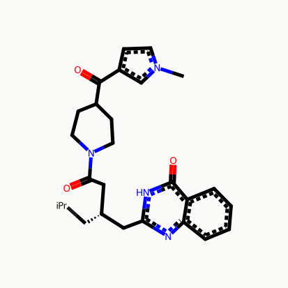 CC(C)C[C@H](CC(=O)N1CCC(C(=O)c2ccn(C)c2)CC1)Cc1nc2ccccc2c(=O)[nH]1